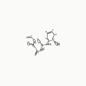 C=C(NC(=O)Nc1ccccc1O)C(=O)OCCCC